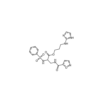 O=C(NCC(NS(=O)(=O)c1ccccc1)C(=O)OCCCNc1ncc[nH]1)c1ccno1